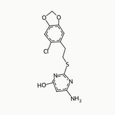 Nc1cc(O)nc(SCCc2cc3c(cc2Cl)OCO3)n1